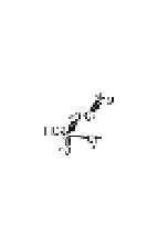 O=S(=O)(O)O.[O]=[Hg]